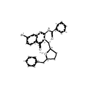 O=C(Nc1nc2cc(Br)ccc2c(=O)n1CC1CCC(Cc2ccccc2)O1)c1ccccc1